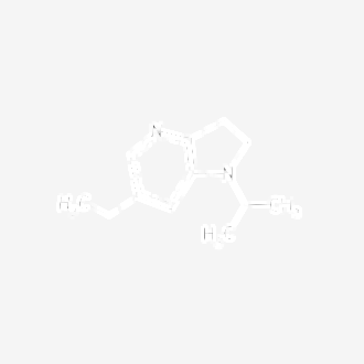 CCc1cnc2c(c1)N(C(C)C)CC2